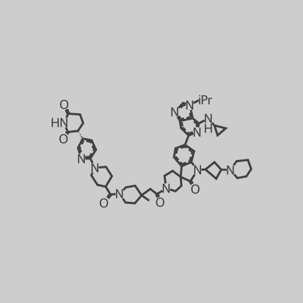 CC(C)n1cnc2cc(-c3ccc4c(c3)N(C3CC(N5CCCCC5)C3)C(=O)C43CCN(C(=O)CC4(C)CCN(C(=O)C5CCN(c6ccc([C@H]7CCC(=O)NC7=O)cn6)CC5)CC4)CC3)nc(NC3CC3)c21